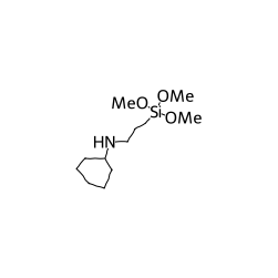 CO[Si](CCCNC1CCCCC1)(OC)OC